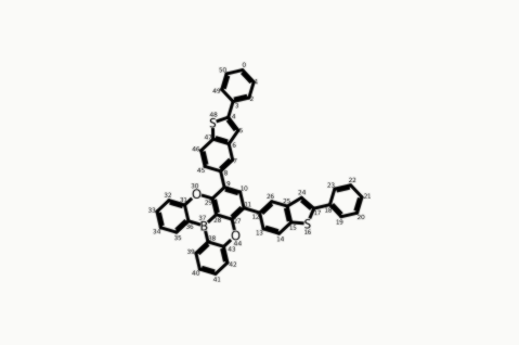 c1ccc(-c2cc3cc(-c4cc(-c5ccc6sc(-c7ccccc7)cc6c5)c5c6c4Oc4ccccc4B6c4ccccc4O5)ccc3s2)cc1